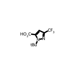 CC(C)(C)n1nc(C(F)(F)F)cc1C(=O)O